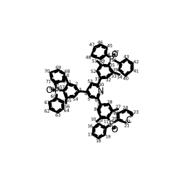 Cc1cc(-c2cc(-c3cc(C)c(P(=O)(c4ccccc4)c4ccccc4)c(C)c3)nc(-c3cc(C)c(P(=O)(c4ccccc4)c4ccccc4)c(C)c3)c2)cc(C)c1P(=O)(c1ccccc1)c1ccccc1